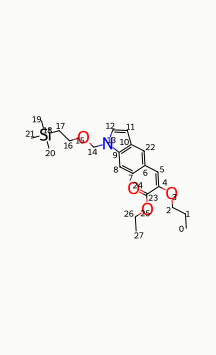 CCCO/C(=C/c1ccc2c(ccn2COCC[Si](C)(C)C)c1)C(=O)OCC